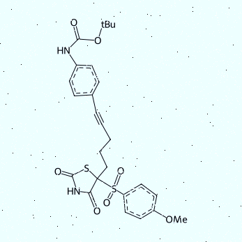 COc1ccc(S(=O)(=O)C2(CCCC#Cc3ccc(NC(=O)OC(C)(C)C)cc3)SC(=O)NC2=O)cc1